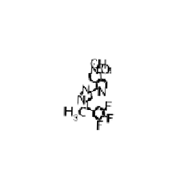 CC(c1cc(F)c(F)c(F)c1)c1cc(-c2nccc3c2CCN(C)C3=O)ncn1